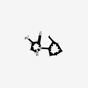 Cc1ccccc1-n1[nH]cc(C(C)C)c1=O